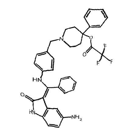 Nc1ccc2c(c1)/C(=C(/Nc1ccc(CN3CCC(OC(=O)C(F)(F)F)(c4ccccc4)CC3)cc1)c1ccccc1)C(=O)N2